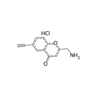 C#Cc1ccc2oc(CN)cc(=O)c2c1.Cl